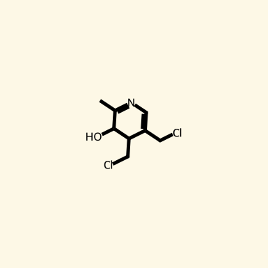 CC1=NC=C(CCl)C(CCl)C1O